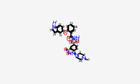 CN1CCN(Nc2ccc(S(=O)(=O)NC(=O)c3ccccc3Oc3ccc4[nH]ccc4c3)cc2[N+](=O)[O-])CC1